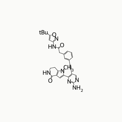 Cn1c(-c2nc(N)ncc2C#Cc2cccc(CC(=O)Nc3cc(C(C)(C)C)on3)c2)cc2c1CCNC2=O